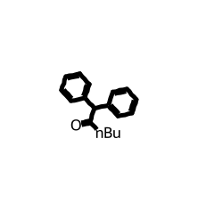 CCCCC(=O)C(c1ccccc1)c1ccccc1